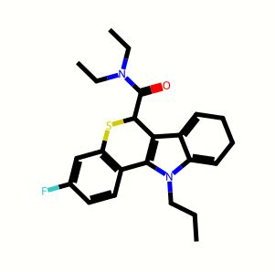 CCCn1c2c(c3c1=CCCC=3)C(C(=O)N(CC)CC)Sc1cc(F)ccc1-2